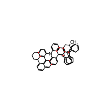 CC1C=c2c(oc3ccccc23)=C(c2cccc(N(c3ccccc3-c3cccc4cccc(C5CCCCC5)c34)c3ccccc3-c3cccc4c3c3ccccc3n4-c3ccccc3)c2)C1